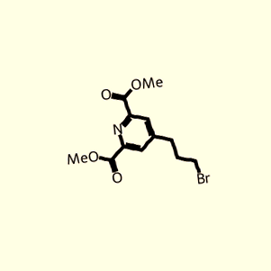 COC(=O)c1cc(CCCBr)cc(C(=O)OC)n1